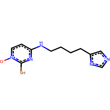 [O-][n+]1ccc(NCCCCc2c[nH]cn2)nc1S